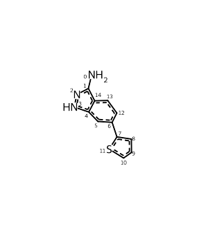 Nc1n[nH]c2cc(-c3cccs3)ccc12